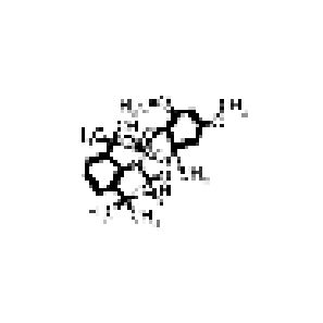 COc1cc(OC)c(OS(=O)(=O)N(C(=O)O)c2c(C(C)(C)C)cccc2C(C)(C)C)c(OC)c1